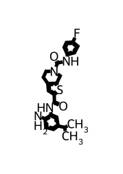 CC(C)c1ccc(N)c(NC(=O)c2cc3c(s2)CN(C(=O)Nc2ccc(F)cc2)CC3)c1